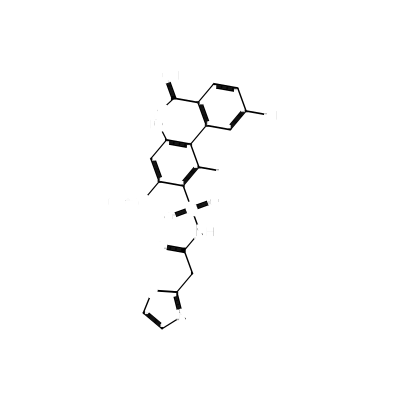 C=C(C)c1ccc(C)cc1-c1c(O)cc(CCCCC)c(S(=O)(=O)NC(=O)Cc2nccs2)c1O